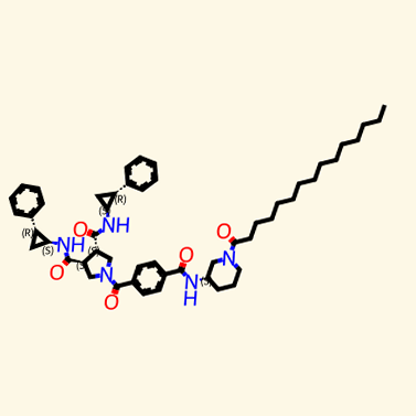 CCCCCCCCCCCCCCC(=O)N1CCC[C@H](NC(=O)c2ccc(C(=O)N3C[C@@H](C(=O)N[C@H]4C[C@@H]4c4ccccc4)[C@H](C(=O)N[C@H]4C[C@@H]4c4ccccc4)C3)cc2)C1